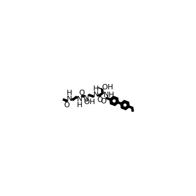 CCc1ccc(-c2ccc(C(=O)N[C@H](C(=O)NCCN(O)C(=O)NCCNC(C)=O)[C@@H](C)O)cc2)cc1